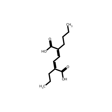 CCCCC(=CC=C(CCC)C(=O)O)C(=O)O